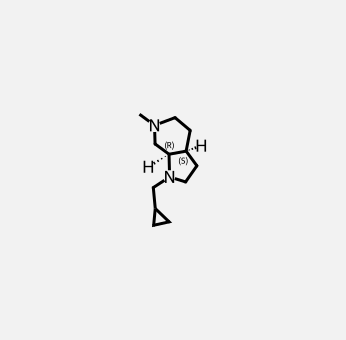 CN1CC[C@H]2CCN(CC3CC3)[C@H]2C1